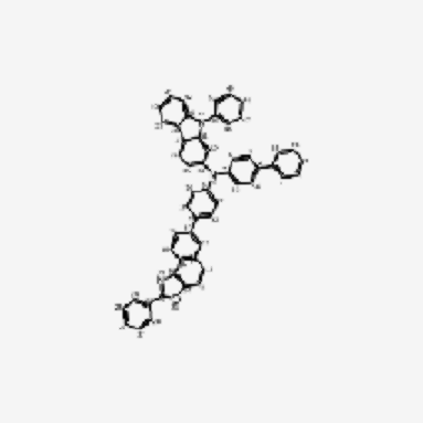 c1ccc(-c2ccc(N(c3ccc(-c4ccc5c(ccc6oc(-c7ccccc7)nc65)c4)cc3)c3ccc4c5ccccc5n(-c5ccccc5)c4c3)cc2)cc1